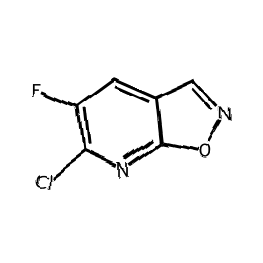 Fc1cc2cnoc2nc1Cl